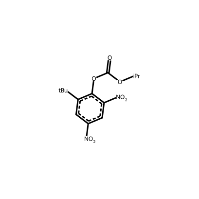 CC(C)OC(=O)Oc1c([N+](=O)[O-])cc([N+](=O)[O-])cc1C(C)(C)C